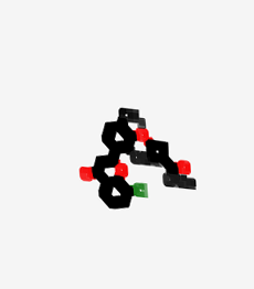 COC(=O)C1CC(Oc2c(C)ccc(-c3cc(=O)c4cccc(Cl)c4o3)c2OC)C1